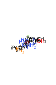 CC(C)P(P)c1ccc(-c2cnc(N)c(C(=N)OC(=N)c3ccc(CNCC(C)(C)O)cc3F)n2)cc1